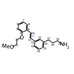 COCCOc1ccccc1/C=C/c1cccc(CCCN)c1